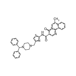 Cc1cn2c(=O)c(C(=O)Nc3nc(CN4CCN(C(c5ccccc5)c5ccccc5)CC4)cs3)cnc2c2ccccc12